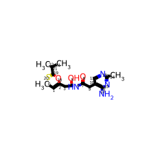 CC=C(CC(O)NC(=O)Cc1cnc(C)nc1N)OC(=S)C(C)C